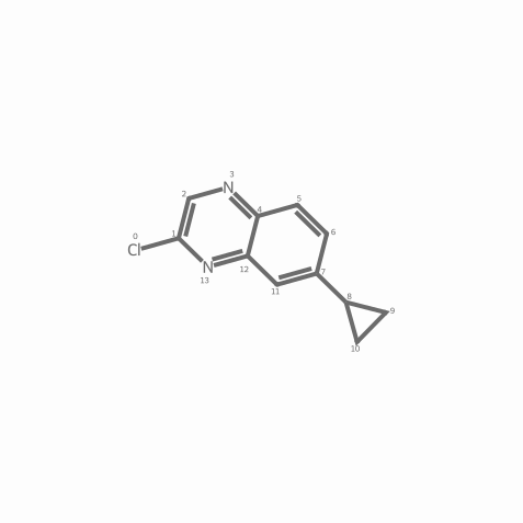 Clc1cnc2ccc(C3CC3)cc2n1